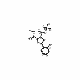 COC(=O)[C@@H]1CC(c2ccccc2C)CN1C(=O)OC(C)(C)C